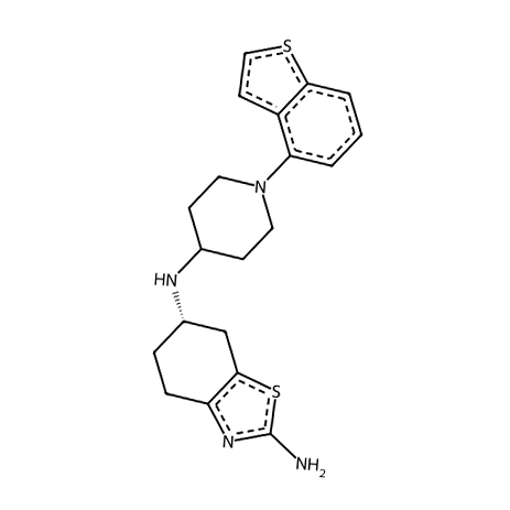 Nc1nc2c(s1)C[C@@H](NC1CCN(c3cccc4sccc34)CC1)CC2